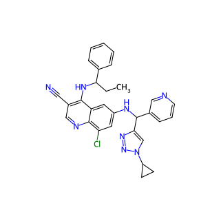 CCC(Nc1c(C#N)cnc2c(Cl)cc(NC(c3cccnc3)c3cn(C4CC4)nn3)cc12)c1ccccc1